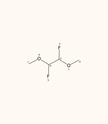 COC(F)C(F)OC